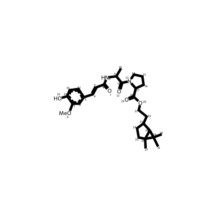 COc1cc(/C=C/C(=O)NC(C)C(=O)N2CCCC2C(=O)OCCC2CCC3(C)C2C3(C)C)ccc1O